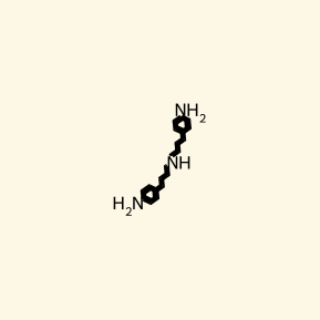 Nc1ccc(CCCCNCCCCc2ccc(N)cc2)cc1